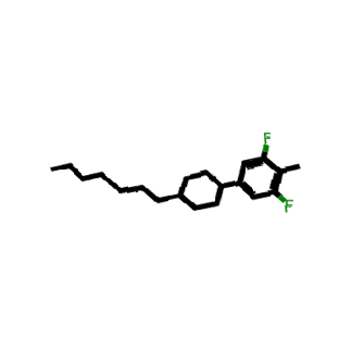 CCCCCCCC1CCC(c2cc(F)c(C)c(F)c2)CC1